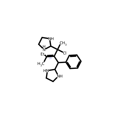 CC/C(C)=C(/C(c1ccccc1)C1NCCN1)C(C)(Cl)C1NCCN1